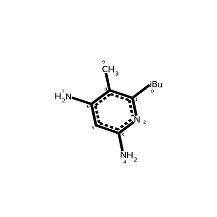 CCC(C)c1nc(N)cc(N)c1C